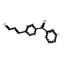 O=[C]C=Cc1ccc(C(=O)c2ccccc2)cc1